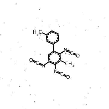 Cc1cccc(-c2cc(N=C=O)c(N=C=O)c(C)c2N=C=O)c1